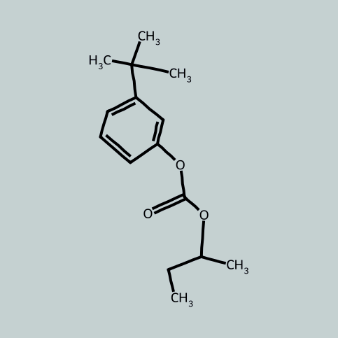 CCC(C)OC(=O)Oc1cccc(C(C)(C)C)c1